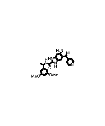 COc1cc(OC)cc(C(C)NC(=O)C2Nc3cc(N)c(C(=N)c4ccncc4)cc3N2)c1